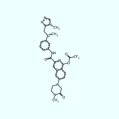 C[C@H](Cc1nncn1C)c1cccc(NC(=O)c2cc3cc(N4CCN(C)C(=O)C4)ccc3c(OC(=O)C(F)(F)F)n2)c1